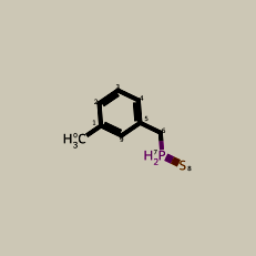 Cc1cccc(C[PH2]=S)c1